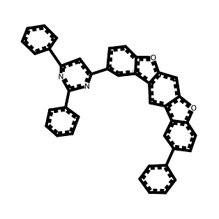 c1ccc(-c2ccc3oc4cc5oc6ccc(-c7cc(-c8ccccc8)nc(-c8ccccc8)n7)cc6c5cc4c3c2)cc1